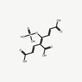 O=C(O)C=CC(OP(=O)(O)O)=C(C=CC(=O)O)C(=O)O